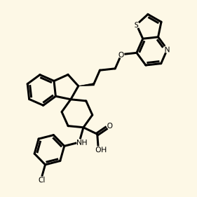 O=C(O)C1(Nc2cccc(Cl)c2)CCC2(CC1)c1ccccc1C[C@H]2CCCOc1ccnc2ccsc12